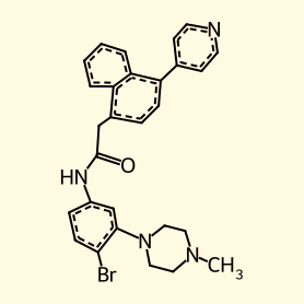 CN1CCN(c2cc(NC(=O)Cc3ccc(-c4ccncc4)c4ccccc34)ccc2Br)CC1